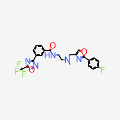 CN(CCNC(=O)c1cccc(-c2noc(C(F)(F)F)n2)c1)Cc1coc(-c2ccc(F)cc2)n1